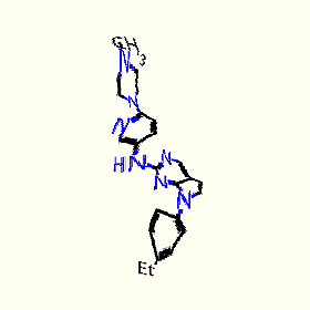 CCc1ccc(-n2ccc3cnc(Nc4ccc(N5CCN(C)CC5)nc4)nc32)cc1